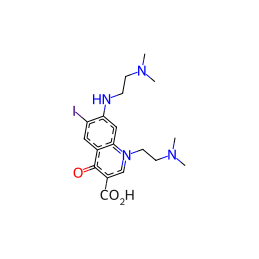 CN(C)CCNc1cc2c(cc1I)c(=O)c(C(=O)O)cn2CCN(C)C